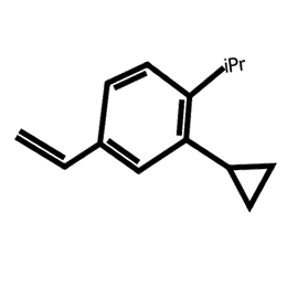 C=Cc1ccc(C(C)C)c(C2CC2)c1